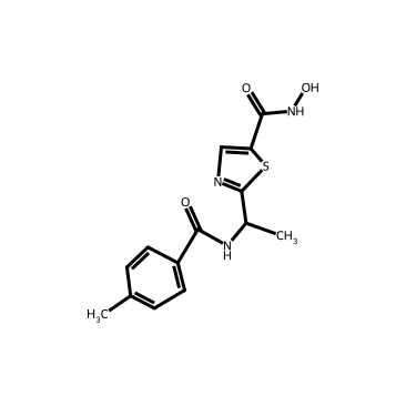 Cc1ccc(C(=O)NC(C)c2ncc(C(=O)NO)s2)cc1